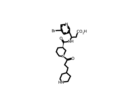 O=C(O)CC(NC(=O)[C@@H]1CCCN(C(=O)CCC2CCNCC2)C1)c1cncc(Br)c1